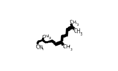 CC(C)=CCCC(C)=CCCC(C)CC#N